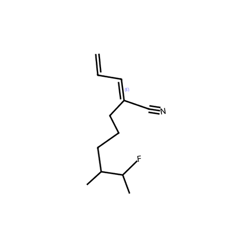 C=C/C=C(/C#N)CCCC(C)C(C)F